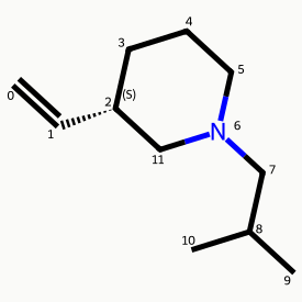 C=C[C@@H]1CCCN(CC(C)C)C1